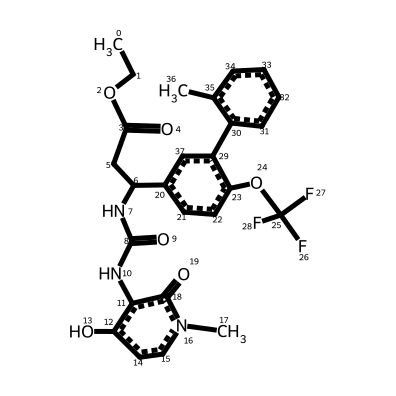 CCOC(=O)CC(NC(=O)Nc1c(O)ccn(C)c1=O)c1ccc(OC(F)(F)F)c(-c2ccccc2C)c1